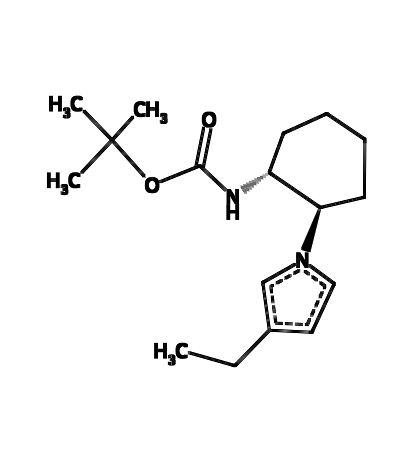 CCc1ccn([C@@H]2CCCC[C@H]2NC(=O)OC(C)(C)C)c1